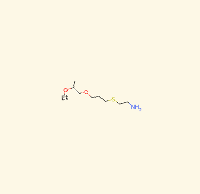 CCOC(C)COCCCSCCN